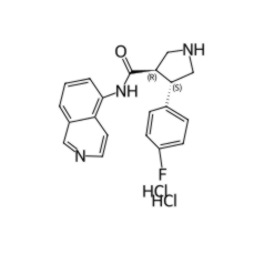 Cl.Cl.O=C(Nc1cccc2cnccc12)[C@H]1CNC[C@@H]1c1ccc(F)cc1